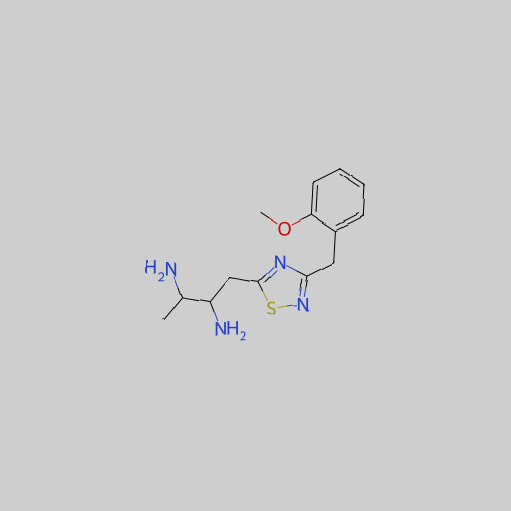 COc1ccccc1Cc1nsc(CC(N)C(C)N)n1